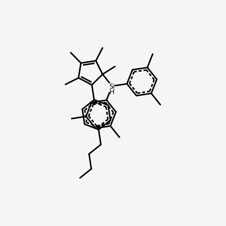 CCCCc1ccc(C2=C(C)C(C)=C(C)C2(C)[SiH](c2cc(C)cc(C)c2)c2cc(C)cc(C)c2)cc1